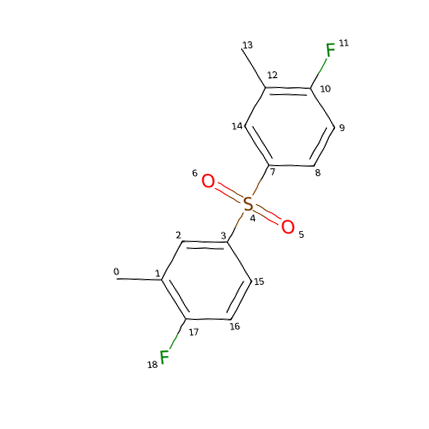 Cc1cc(S(=O)(=O)c2ccc(F)c(C)c2)ccc1F